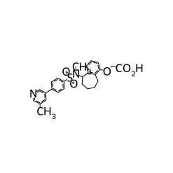 Cc1cncc(-c2ccc(S(=O)(=O)N(C)C3CCCCc4c(OCC(=O)O)cccc43)cc2)c1